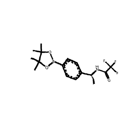 C[C@H](NC(=O)C(F)(F)F)c1ccc(B2OC(C)(C)C(C)(C)O2)cc1